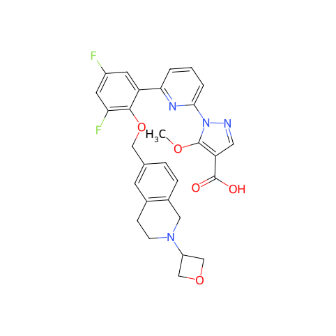 COc1c(C(=O)O)cnn1-c1cccc(-c2cc(F)cc(F)c2OCc2ccc3c(c2)CCN(C2COC2)C3)n1